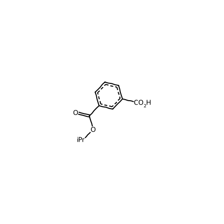 [CH2]C(C)OC(=O)c1cccc(C(=O)O)c1